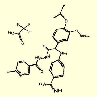 CCOc1cc(C(Nc2ccc(C(=N)N)cc2)C(=O)NNC(=O)c2ccc(C)nc2)ccc1OC(C)C.O=C(O)C(F)(F)F